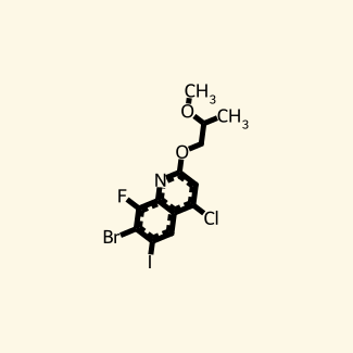 COC(C)COc1cc(Cl)c2cc(I)c(Br)c(F)c2n1